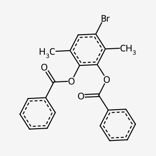 Cc1cc(Br)c(C)c(OC(=O)c2ccccc2)c1OC(=O)c1ccccc1